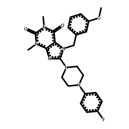 COc1cccc(Cn2c(N3CCN(c4ccc(F)cc4)CC3)nc3c2c(=O)n(C)c(=O)n3C)c1